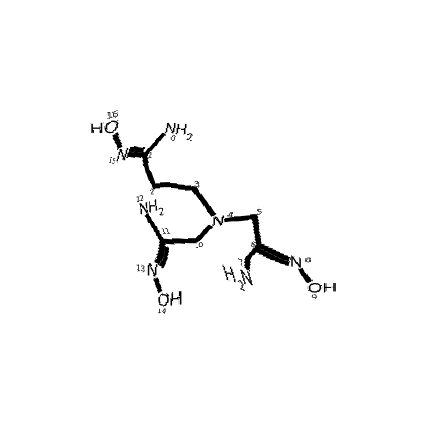 N/C(CCN(C/C(N)=N/O)C/C(N)=N\O)=N\O